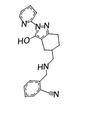 N#Cc1ccccc1CNCC1CCc2nn(-c3ccccn3)c(O)c2C1